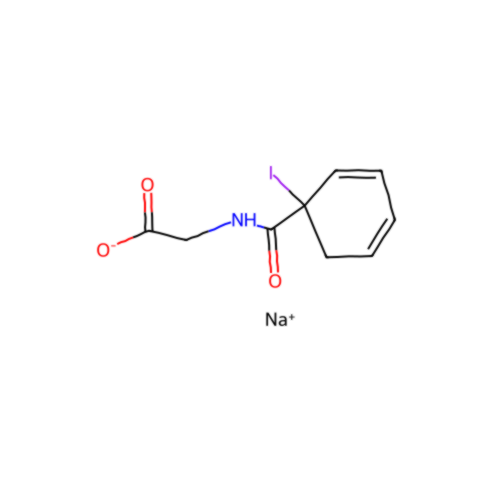 O=C([O-])CNC(=O)C1(I)C=CC=CC1.[Na+]